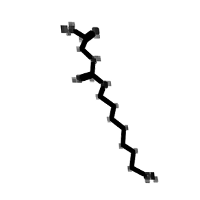 CCCCCCCCOC(=S)SCC(C)=O